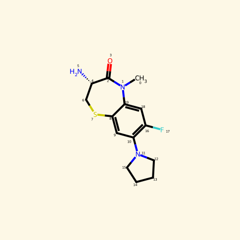 CN1C(=O)[C@@H](N)CSc2cc(N3CCCC3)c(F)cc21